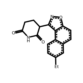 CCc1ccc2c(ccc3onc(C4CCC(=O)NC4=O)c32)c1